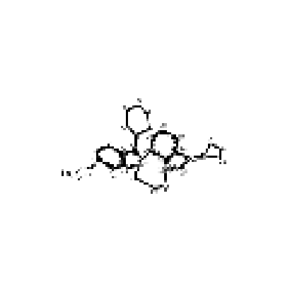 O=C(O)c1ccc2c(C3CCCCC3)c3n(c2c1)CCCn1cc(N2CCC2)c2cccc-3c21